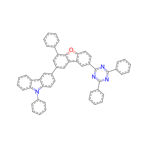 c1ccc(-c2nc(-c3ccccc3)nc(-c3ccc4oc5c(-c6ccccc6)cc(-c6ccc7c(c6)c6ccccc6n7-c6ccccc6)cc5c4c3)n2)cc1